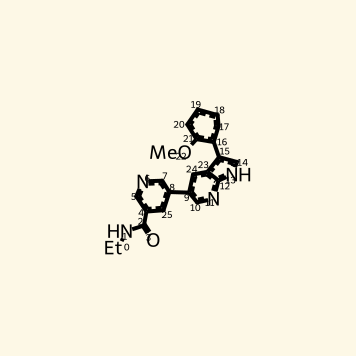 CCNC(=O)c1cncc(-c2cnc3[nH]cc(-c4ccccc4OC)c3c2)c1